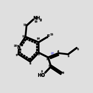 C=C(O)/C(=C\CC)c1ccnc(CN)c1F